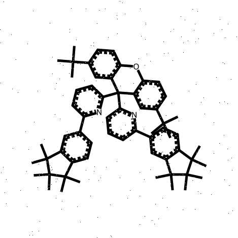 CC(C)(C)c1ccc2c(c1)C(c1cccc(-c3ccc4c(c3)C(C)(C)C(C)(C)C4(C)C)n1)(c1cccc(-c3ccc4c(c3)C(C)(C)C(C)(C)C4(C)C)n1)c1cc(C(C)(C)C)ccc1O2